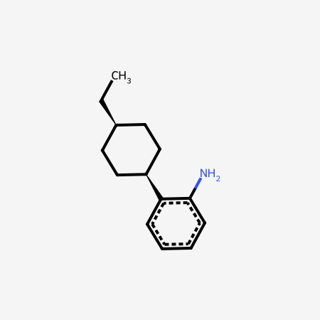 CC[C@H]1CC[C@@H](c2ccccc2N)CC1